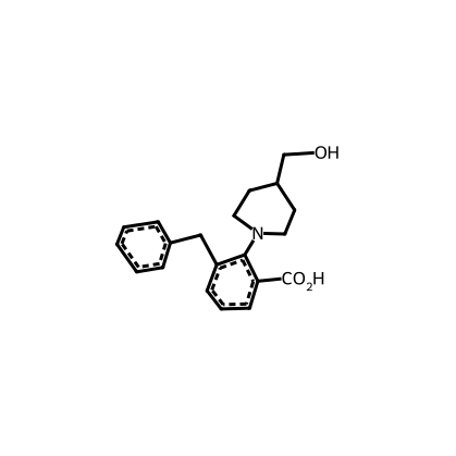 O=C(O)c1cccc(Cc2ccccc2)c1N1CCC(CO)CC1